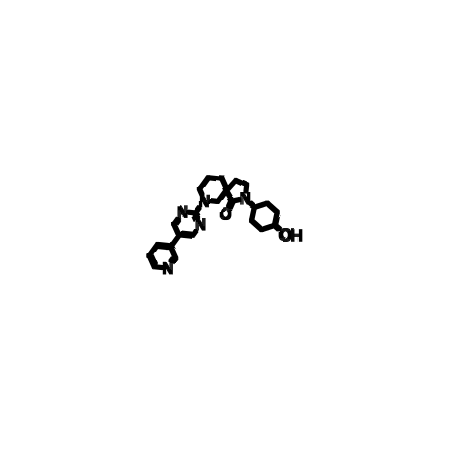 O=C1N(C2CCC(O)CC2)CCC12CCCN(c1ncc(-c3cccnc3)cn1)C2